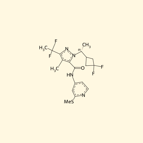 CSc1cc(NC(=O)c2c(C)c(C(C)(F)F)nn2[C@H](C)C2CC(F)(F)C2)ccn1